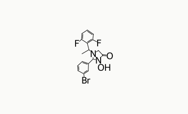 CC(c1c(F)cccc1F)N1CC(=O)N(O)C1c1cccc(Br)c1